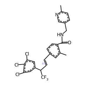 Cc1ccc(CNC(=O)c2ccc(/C=C/C(c3cc(Cl)c(Cl)c(Cl)c3)C(F)(F)F)cc2C)cn1